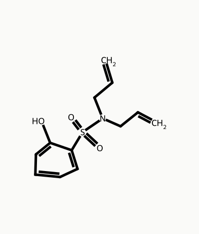 C=CCN(CC=C)S(=O)(=O)c1ccccc1O